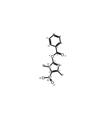 Cc1nc(OC(=O)c2ccccc2)n(C)c1[N+](=O)[O-]